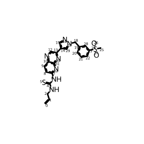 C=CCNC(=S)Nc1ccc2ncc(-c3cnn(Cc4cccc(S(C)(=O)=O)c4)c3)nc2n1